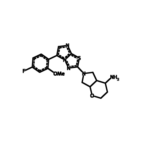 COc1cc(F)ccc1-c1cnc2sc(N3CC4OCCC(N)C4C3)nn12